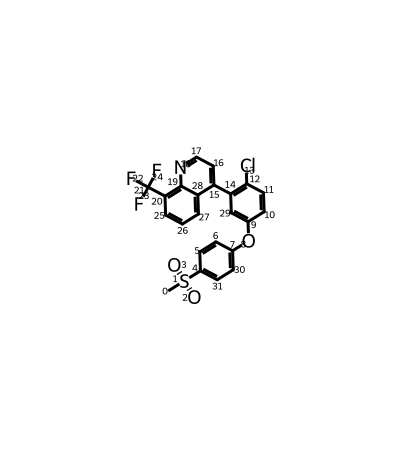 CS(=O)(=O)c1ccc(Oc2ccc(Cl)c(-c3ccnc4c(C(F)(F)F)cccc34)c2)cc1